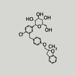 C[C@@]1(COc2ccc(Cc3cc([C@@H]4O[C@H](CO)[C@@H](O)[C@H](O)[C@H]4O)ccc3Cl)cc2)Cc2ccccc2O1